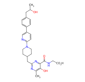 Cc1nc(CC2CCN(c3ccc(-c4ccc(CC(C)O)cc4)cn3)CC2)nc(C(=O)NCC(=O)O)c1O